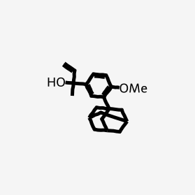 C=CC(C)(O)c1ccc(OC)c(C23CC4CC(CC(C4)C2)C3)c1